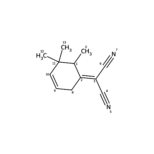 CC1C(=C(C#N)C#N)CC=CC1(C)C